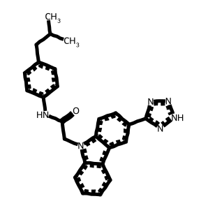 CC(C)Cc1ccc(NC(=O)Cn2c3ccccc3c3cc(-c4nn[nH]n4)ccc32)cc1